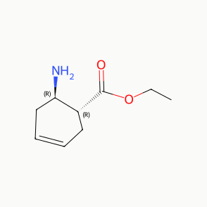 CCOC(=O)[C@@H]1CC=CC[C@H]1N